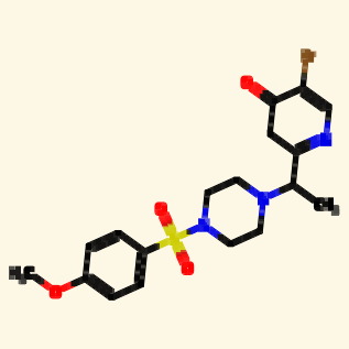 COc1ccc(S(=O)(=O)N2CCN(C(C)C3=NC=C(Br)C(=O)C3)CC2)cc1